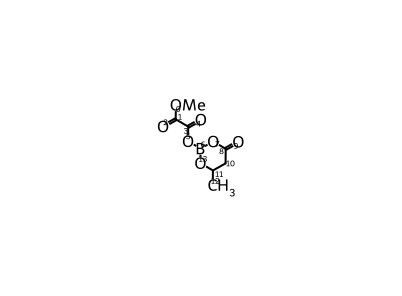 COC(=O)C(=O)OB1OC(=O)CC(C)O1